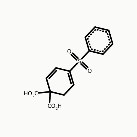 O=C(O)C1(C(=O)O)C=CC(S(=O)(=O)c2ccccc2)=CC1